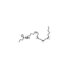 CCCCC/C=C\C/C=C\C/C=C\C/C=C\CCCCNC(=O)CCC